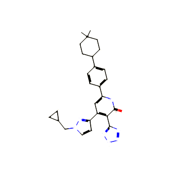 CC1(C)CCC(c2ccc(-c3cc(-c4ccn(CC5CC5)n4)c(-c4nn[nH]n4)c(=O)[nH]3)cc2)CC1